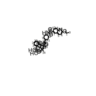 CCOc1ccc2cc(S(=O)(=O)NC3CCC(C(=O)N[C@@](c4ccccc4)(C(OP(=O)(O)O)C(C)(C)C)C(C)(C)C)CC3)ccc2n1